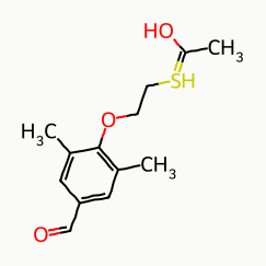 CC(O)=[SH]CCOc1c(C)cc(C=O)cc1C